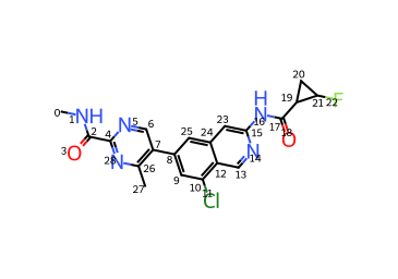 CNC(=O)c1ncc(-c2cc(Cl)c3cnc(NC(=O)C4CC4F)cc3c2)c(C)n1